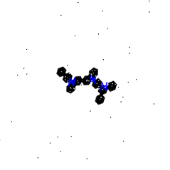 c1ccc(-c2ccc(-n3c4ccccc4c4cc(-c5ccc6c(c5)c5ccccc5n6-c5ccc(-c6cc(-c7ccccc7)cc(-c7ccccc7)n6)cc5)ccc43)cc2)cc1